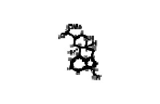 COC(=O)[C@H]1CN[C@@H]2Cc3cn(C(C)C)c4cccc(c34)[C@H]2C1